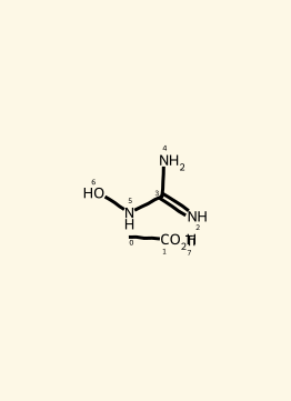 CC(=O)O.N=C(N)NO.[Ti]